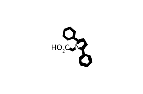 O=C(O)Cn1c(-c2ccccc2)ccc1C1CCCCC1